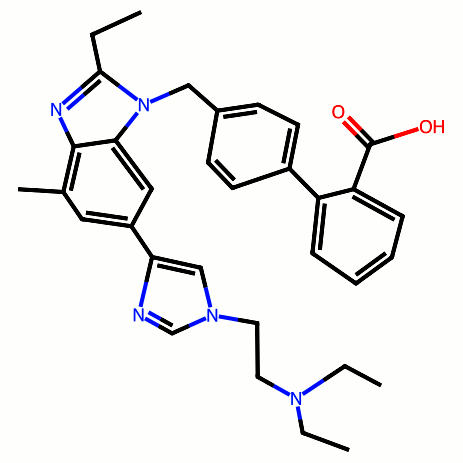 CCc1nc2c(C)cc(-c3cn(CCN(CC)CC)cn3)cc2n1Cc1ccc(-c2ccccc2C(=O)O)cc1